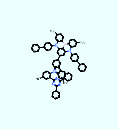 CC(C)(C)c1ccc2c(c1)N(c1ccc(-c3ccccc3)cc1)c1cc(-c3ccc4c(c3)c3ccc(C(C)(C)C)cc3n4-c3ccc(C#N)cc3-c3nc(-c4ccccc4)nc(-c4ccccc4)n3)cc3c1B2c1ccc(C(C)(C)C)cc1N3c1ccc(-c2ccccc2)cc1